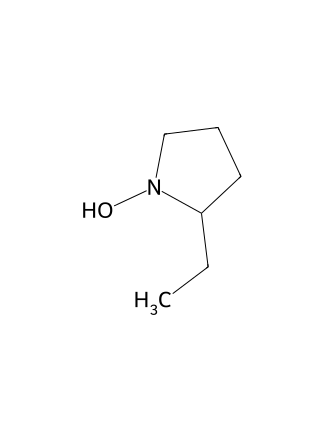 CCC1CCCN1O